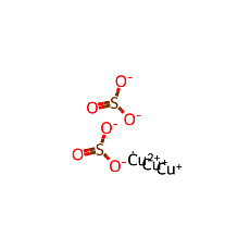 O=S([O-])[O-].O=S([O-])[O-].[Cu+2].[Cu+].[Cu+]